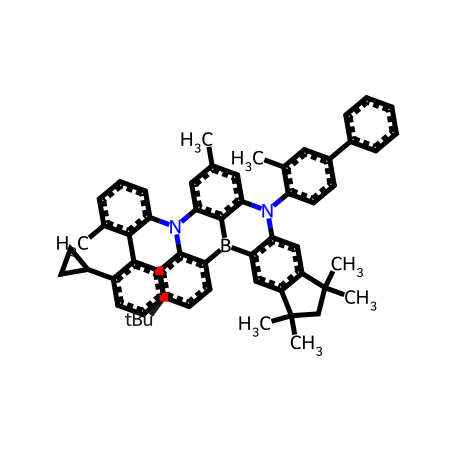 Cc1cc2c3c(c1)N(c1cccc(C)c1-c1ccccc1C1CC1)c1cc(C(C)(C)C)ccc1B3c1cc3c(cc1N2c1ccc(-c2ccccc2)cc1C)C(C)(C)CC3(C)C